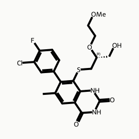 COCCO[C@H](CO)CSc1c(-c2ccc(F)c(Cl)c2)c(C)cc2c(=O)[nH]c(=O)[nH]c12